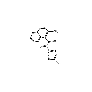 CCCc1ccc([P](=O)C(=O)c2c(C)ccc3ccccc23)cc1